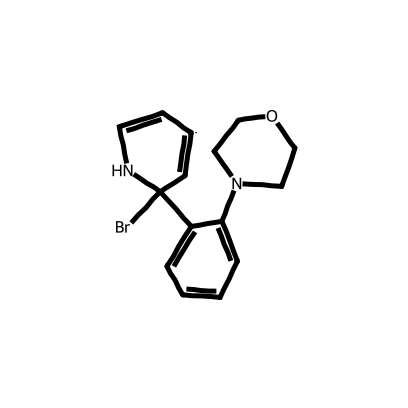 BrC1(c2ccccc2N2CCOCC2)C=[C]C=CN1